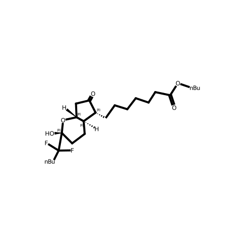 CCCCOC(=O)CCCCCC[C@H]1C(=O)C[C@H]2O[C@@](O)(C(F)(F)CCCC)CC[C@@H]21